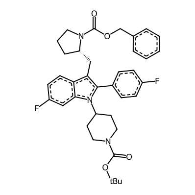 CC(C)(C)OC(=O)N1CCC(n2c(-c3ccc(F)cc3)c(C[C@@H]3CCCN3C(=O)OCc3ccccc3)c3ccc(F)cc32)CC1